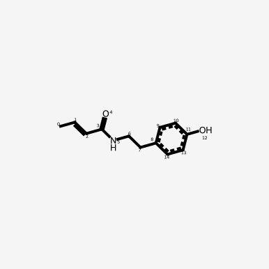 C/C=C/C(=O)NCCc1ccc(O)cc1